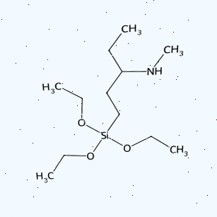 CCO[Si](CCC(CC)NC)(OCC)OCC